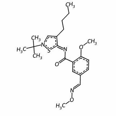 CCCCc1cn(C(C)(C)C)sc1=NC(=O)c1cc(C=NOC)ccc1OC